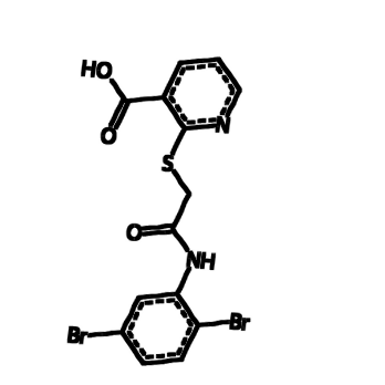 O=C(CSc1ncccc1C(=O)O)Nc1cc(Br)ccc1Br